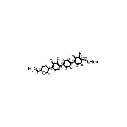 C=CC1CCC(c2ccc(-c3ccc(-c4ccc(OCCCCCC)c(F)c4F)cc3)c(F)c2F)CO1